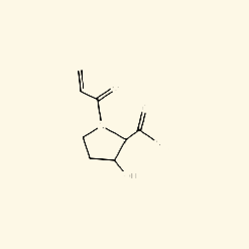 C=CC(=O)N1CCC(O)C1C(N)=O